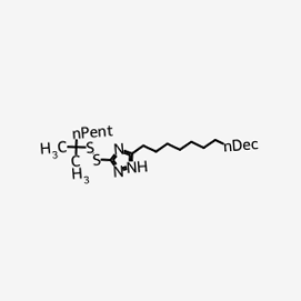 CCCCCCCCCCCCCCCCCc1nc(SSC(C)(C)CCCCC)n[nH]1